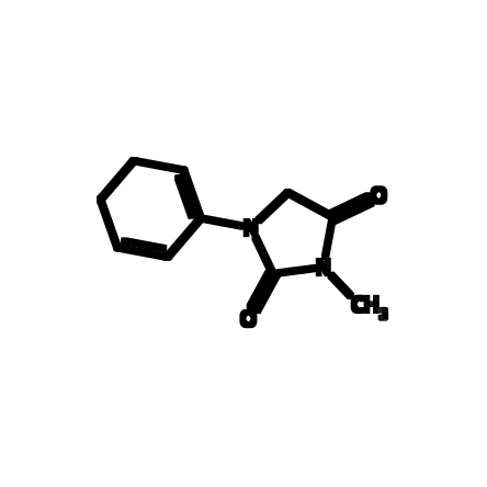 CN1C(=O)CN(C2=CCCC=C2)C1=O